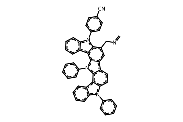 C=NCc1cc2c3ccc4c(c5ccccc5n4-c4ccccc4)c3n(-c3ccccc3)c2c2c3ccccc3n(-c3ccc(C#N)cc3)c12